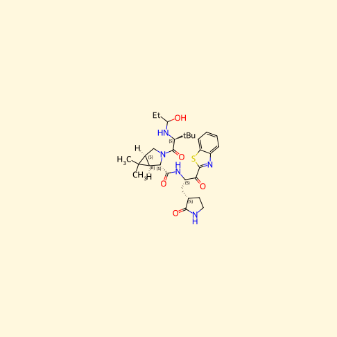 CCC(O)N[C@H](C(=O)N1C[C@H]2[C@@H]([C@H]1C(=O)N[C@@H](C[C@@H]1CCNC1=O)C(=O)c1nc3ccccc3s1)C2(C)C)C(C)(C)C